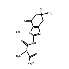 CN(C(=O)Nc1nc2c(s1)C(=O)CC(C)(C)C2)C(=O)C(=O)O.[LiH]